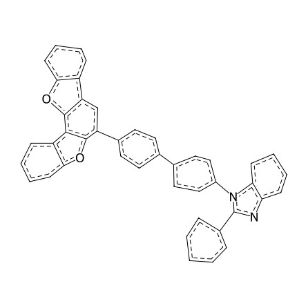 c1ccc(-c2nc3ccccc3n2-c2ccc(-c3ccc(-c4cc5c6ccccc6oc5c5c4oc4ccccc45)cc3)cc2)cc1